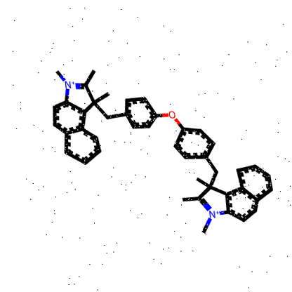 CC1=[N+](C)c2ccc3ccccc3c2C1(C)Cc1ccc(Oc2ccc(CC3(C)C(C)=[N+](C)c4ccc5ccccc5c43)cc2)cc1